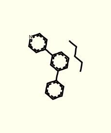 CCCCC.c1ccc(-c2cccc(-c3ccncc3)c2)cc1